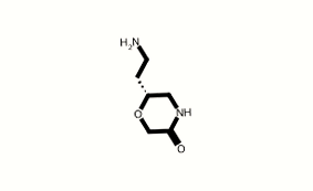 NCC[C@@H]1CNC(=O)CO1